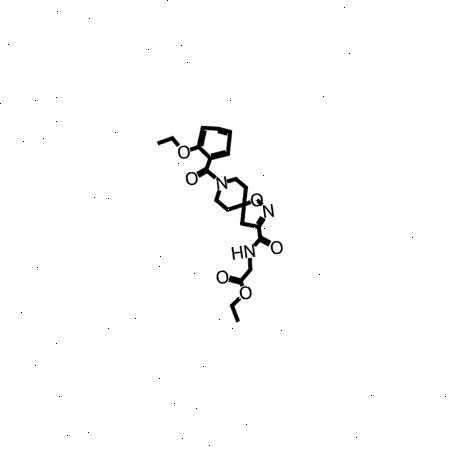 CCOC(=O)CNC(=O)C1=NOC2(CCN(C(=O)c3ccccc3OCC)CC2)C1